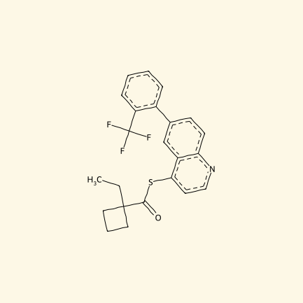 CCC1(C(=O)Sc2ccnc3ccc(-c4ccccc4C(F)(F)F)cc23)CCC1